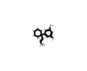 CC(C)/C=C/C1(c2cc(F)cc(F)c2)CCCCC1